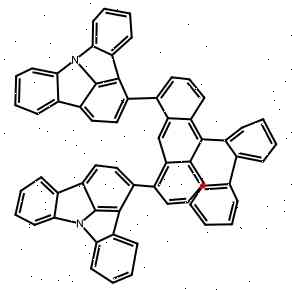 c1ccc(-c2ccccc2-c2c3cccc(-c4ccc5c6ccccc6n6c7ccccc7c4c56)c3cc3c(-c4ccc5c6ccccc6n6c7ccccc7c4c56)cccc23)cc1